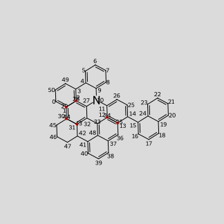 c1ccc(-c2ccccc2N(c2ccc(-c3cccc4ccccc34)cc2)c2ccccc2-c2cccc3cccc(C4CCCCC4)c23)cc1